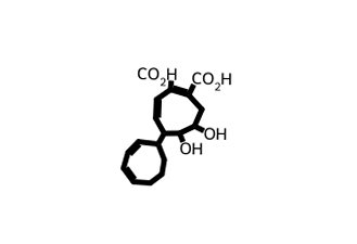 O=C(O)C1=C(C(=O)O)CC(O)C(O)C(C2C=CC=CCCC2)C=C1